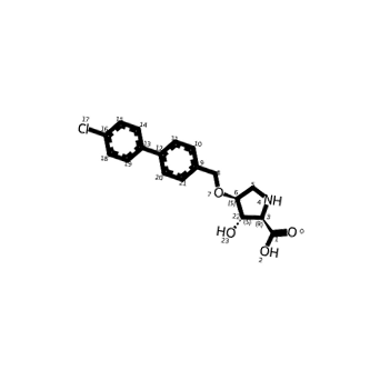 O=C(O)[C@@H]1NC[C@H](OCc2ccc(-c3ccc(Cl)cc3)cc2)[C@H]1O